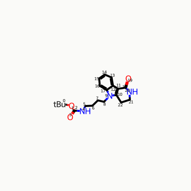 CC(C)(C)OC(=O)NCCCCn1c2c(c3ccccc31)C(=O)NCC2